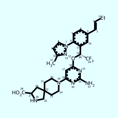 CCC=Cc1ccc(-n2ccc(C)n2)c([C@@H](Oc2cc(N3CCC4(CC3)CNC(C(=O)O)C4)nc(N)n2)C(F)(F)F)c1